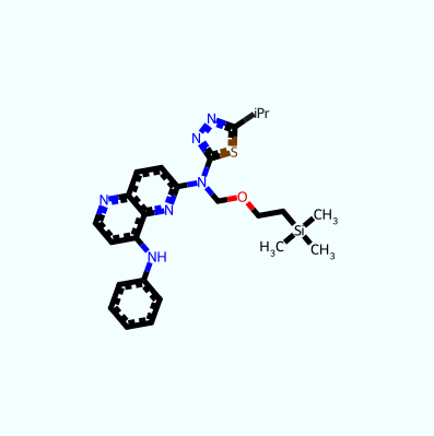 CC(C)c1nnc(N(COCC[Si](C)(C)C)c2ccc3nccc(Nc4ccccc4)c3n2)s1